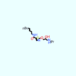 CCCC/C=C/CCNC(=O)c1cnc(OCC(O)CNC(C)C)s1